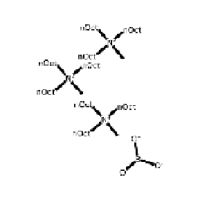 CCCCCCCC[N+](C)(CCCCCCCC)CCCCCCCC.CCCCCCCC[N+](C)(CCCCCCCC)CCCCCCCC.CCCCCCCC[N+](C)(CCCCCCCC)CCCCCCCC.[O-]B([O-])[O-]